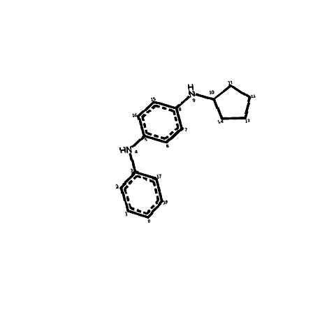 c1ccc(Nc2ccc(NC3CCCC3)cc2)cc1